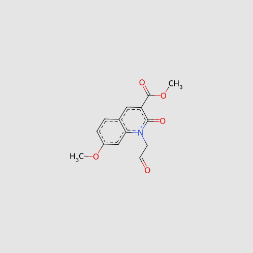 COC(=O)c1cc2ccc(OC)cc2n(CC=O)c1=O